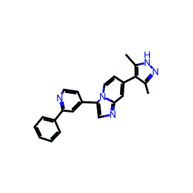 Cc1n[nH]c(C)c1-c1ccn2c(-c3ccnc(-c4ccccc4)c3)cnc2c1